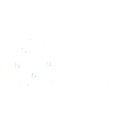 Cn1cnc2c1c(=O)n(CCCCC(=O)CCl)c(=O)n2C